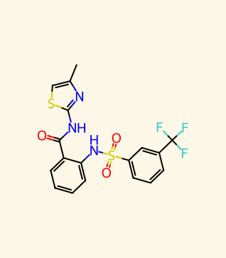 Cc1csc(NC(=O)c2ccccc2NS(=O)(=O)c2cccc(C(F)(F)F)c2)n1